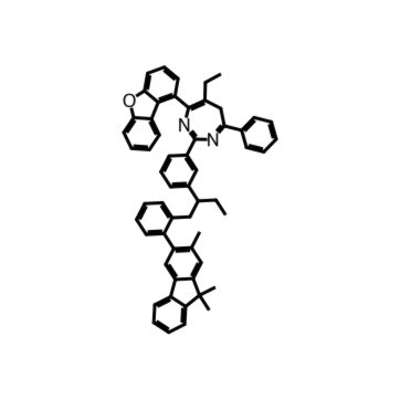 CCC1=C(c2cccc3oc4ccccc4c23)N=C(c2cccc(C(CC)Cc3ccccc3-c3cc4c(cc3C)C(C)(C)c3ccccc3-4)c2)N=C(c2ccccc2)C1